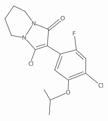 CC(C)Oc1cc(-c2c(Cl)n3n(c2=O)CCCC3)c(F)cc1Cl